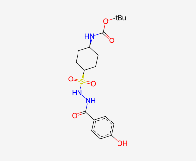 CC(C)(C)OC(=O)N[C@H]1CC[C@@H](S(=O)(=O)NNC(=O)c2ccc(O)cc2)CC1